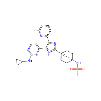 Cc1cccc(-c2nc(C34CCC(NS(C)(=O)=O)(CC3)CC4)[nH]c2-c2ccnc(NC3CC3)n2)n1